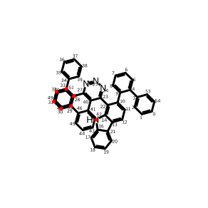 c1ccc(-c2ccccc2-c2ccc3c([nH]c4ccccc43)c2-c2nnnc(-c3ccccc3-c3ccccc3)c2-c2ccccc2-c2ccccc2)cc1